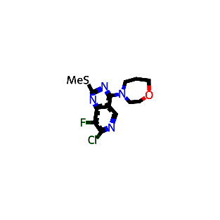 CSc1nc(N2CCCOCC2)c2cnc(Cl)c(F)c2n1